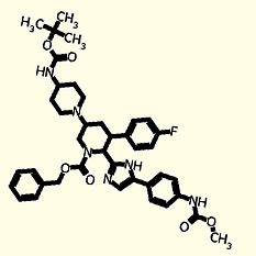 COC(=O)Nc1ccc(-c2cnc(C3C(c4ccc(F)cc4)CC(N4CCC(NC(=O)OC(C)(C)C)CC4)CN3C(=O)OCc3ccccc3)[nH]2)cc1